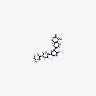 Nc1nc(F)c(-c2ccc(C3CCCCN3)cc2)cc1-c1ccc2c(c1)CCNC2=O